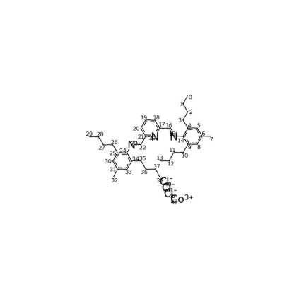 CCCCc1cc(C)cc(CCCC)c1N=Cc1cccc(C=Nc2c(CCCC)cc(C)cc2CCCC)n1.[Cl-].[Cl-].[Cl-].[Co+3]